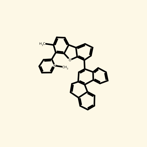 Cc1ccc2c(oc3c(-c4cc5ccc6ccccc6c5c5ccccc45)cccc32)c1-c1cccc[n+]1C